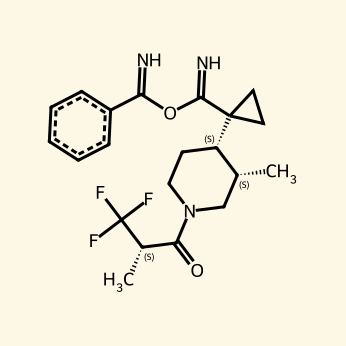 C[C@@H]1CN(C(=O)[C@H](C)C(F)(F)F)CC[C@@H]1C1(C(=N)OC(=N)c2ccccc2)CC1